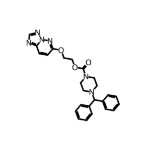 O=C(OCCOc1ccc2ncnn2n1)N1CCN(C(c2ccccc2)c2ccccc2)CC1